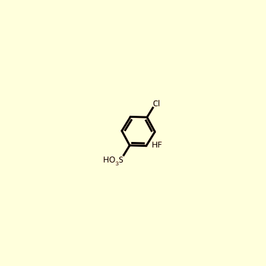 F.O=S(=O)(O)c1ccc(Cl)cc1